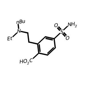 CCCCN(CC)CCc1cc(S(N)(=O)=O)ccc1C(=O)O